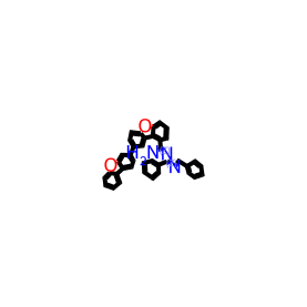 N/C(=N\C(=N/Cc1ccccc1)c1ccccc1)c1cccc2oc3ccc(-c4ccc5c(c4)oc4ccccc45)cc3c12